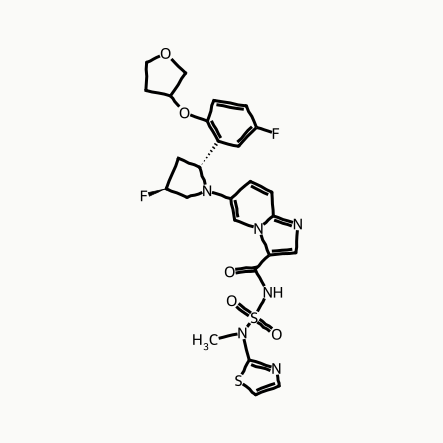 CN(c1nccs1)S(=O)(=O)NC(=O)c1cnc2ccc(N3C[C@@H](F)C[C@@H]3c3cc(F)ccc3OC3CCOC3)cn12